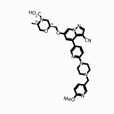 COc1ccc(CN2CCN(c3ccc(-c4cc(OC[C@@H]5CN(C(=O)O)[C@H](C)CO5)cn5ncc(C#N)c45)cn3)CC2)cn1